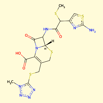 CSC(C(=O)NC1C(=O)N2C(C(=O)O)=C(CSc3nnnn3C)CS[C@@H]12)c1csc(N)n1